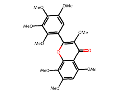 COc1cc(-c2oc3c(OC)c(OC)cc(OC)c3c(=O)c2OC)c(OC)c(OC)c1OC